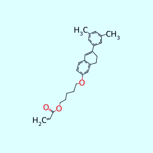 C=CC(=O)OCCCCCOc1ccc2c(c1)CCC(c1cc(C)cc(C)c1)=C2